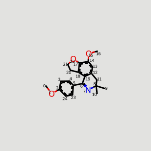 COc1ccc(C2=NC(C)(C)Cc3cc(OC)c4c(c32)CCO4)cc1